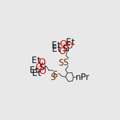 CCCC1CCC(CCS(=S)CCC[Si](OCC)(OCC)OCC)C(CCS(=S)CCC[Si](OCC)(OCC)OCC)C1